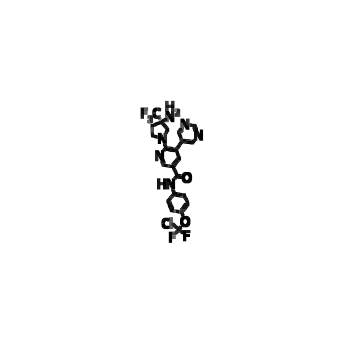 N[C@]1(C(F)(F)F)CCN(c2ncc(C(=O)Nc3ccc(OC(F)(F)Cl)cc3)cc2-c2cncnc2)C1